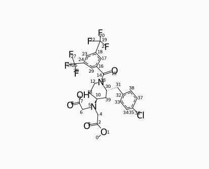 COC(=O)CN(CC(=O)O)[C@H]1CCN(C(=O)c2cc(C(F)(F)F)cc(C(F)(F)F)c2)[C@H](Cc2ccc(Cl)cc2)C1